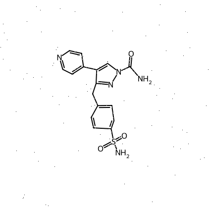 NC(=O)n1[c]c(-c2ccncc2)c(Cc2ccc(S(N)(=O)=O)cc2)n1